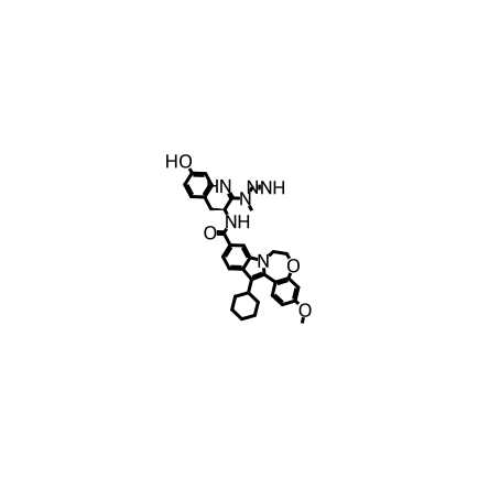 COc1ccc2c(c1)OCCn1c-2c(C2CCCCC2)c2ccc(C(=O)N[C@@H](Cc3ccc(O)cc3)C(=N)N(C)N=N)cc21